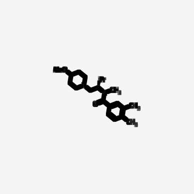 COC1CCN(C[C@H](C(C)C)N(C)C(=O)c2ccc(C)c(C)c2)CC1